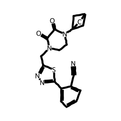 N#Cc1ccccc1-c1nnc(CN2CCN(C34CC(C3)C4)C(=O)C2=O)s1